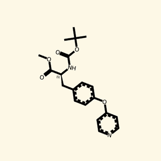 COC(=O)[C@H](Cc1ccc(Oc2ccncc2)cc1)NC(=O)OC(C)(C)C